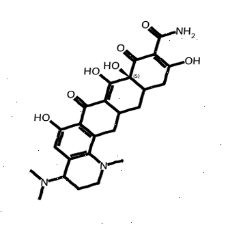 CN1CCC(N(C)C)c2cc(O)c3c(c21)CC1CC2CC(O)=C(C(N)=O)C(=O)[C@@]2(O)C(O)=C1C3=O